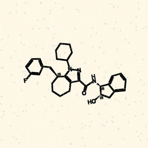 O=C(N[C@@H]1c2ccccc2C[C@@H]1O)c1nn(C2CCCCC2)c2c1CCCC[C@H]2Cc1cccc(F)c1